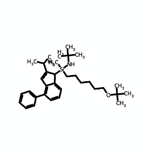 CC(C)C1=Cc2c(-c3ccccc3)cccc2C1[Si](C)(CCCCCCOC(C)(C)C)NC(C)(C)C